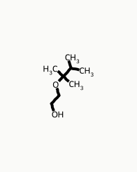 CC(C)C(C)(C)OCCO